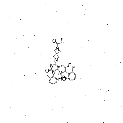 C=CC(=O)N1CC2(C1)CN(c1nc(=O)n(-c3c(C)cccc3C(C)C)c3nc(-c4c(O)cccc4F)c(F)cc13)C2